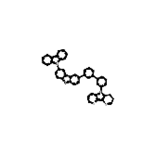 C1=Nc2c(n(-c3cccc(-c4cccc(-c5ccc6sc7ccc(-n8c9ccccc9c9ccccc98)cc7c6c5)c4)c3)c3cccnc23)CC1